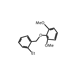 CCc1ccccc1COc1c(OC)cccc1OC